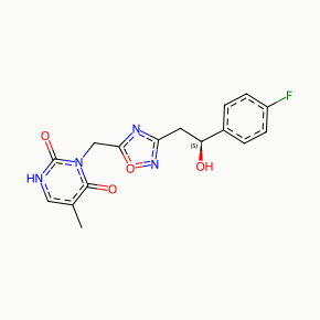 Cc1c[nH]c(=O)n(Cc2nc(C[C@H](O)c3ccc(F)cc3)no2)c1=O